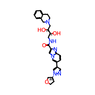 O=C(NC[C@H](O)[C@@H](O)CN1CCc2ccccc2C1)c1cn2cc(-c3cnn([C@@H]4CCOC4)c3)ccc2n1